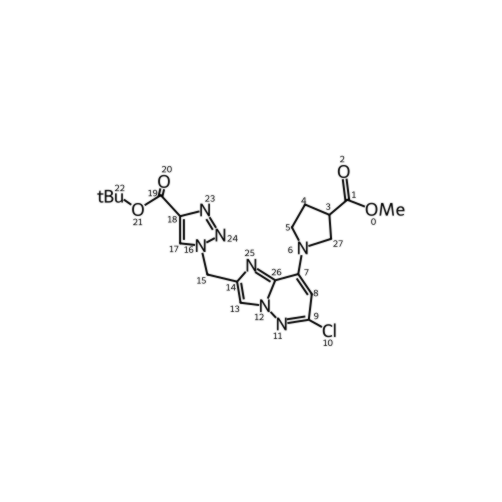 COC(=O)C1CCN(c2cc(Cl)nn3cc(Cn4cc(C(=O)OC(C)(C)C)nn4)nc23)C1